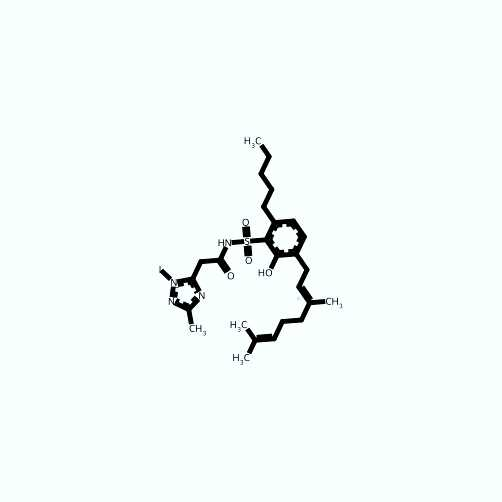 CCCCCc1ccc(C/C=C(\C)CCC=C(C)C)c(O)c1S(=O)(=O)NC(=O)Cc1nc(C)nn1I